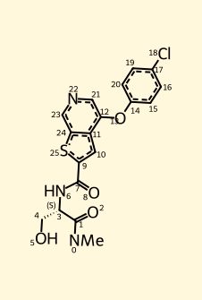 CNC(=O)[C@H](CO)NC(=O)c1cc2c(Oc3ccc(Cl)cc3)cncc2s1